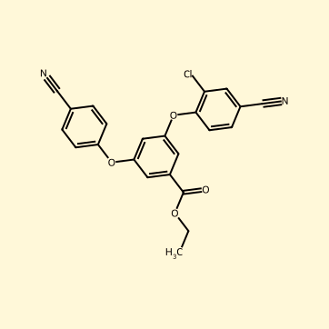 CCOC(=O)c1cc(Oc2ccc(C#N)cc2)cc(Oc2ccc(C#N)cc2Cl)c1